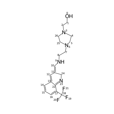 OCCN1CCN(CCNC=C2C=c3cccc(C(F)(F)F)c3=NC2)CC1